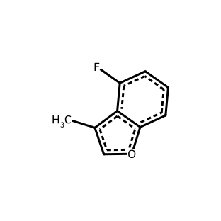 Cc1coc2cccc(F)c12